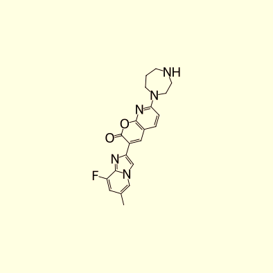 Cc1cc(F)c2nc(-c3cc4ccc(N5CCCNCC5)nc4oc3=O)cn2c1